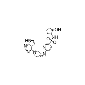 CN(c1ccc(S(=O)(=O)NC2CCC[C@@H]2O)cn1)[C@@H]1CCN(c2ncnc3[nH]ccc23)C1